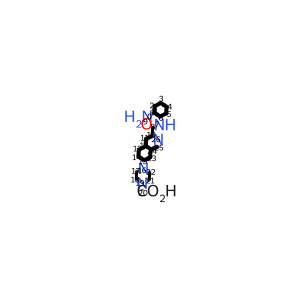 Nc1ccccc1NC(=O)c1cc2ccc(N3CCN(C(=O)O)CC3)cc2cn1